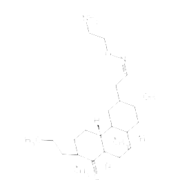 CCC[C@@]1(C)CC[C@H]2[C@@H](CC[C@@H]3C[C@@H](O)C(C/C=N\OCCN)C[C@@]32C)C1=O